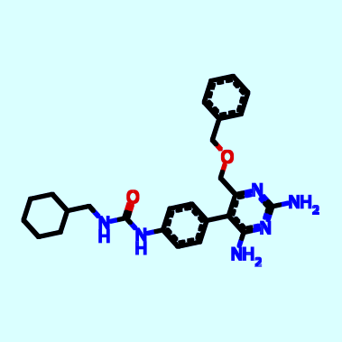 Nc1nc(N)c(-c2ccc(NC(=O)NCC3CCCCC3)cc2)c(COCc2ccccc2)n1